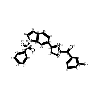 O=C(c1cccc(F)c1)N1CCC(c2ccc3ccn(S(=O)(=O)c4ccccc4)c3c2)=N1